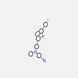 CC1(C)c2cc(-c3ccc(F)cc3)cc3ccc4cc(-c5ccc(N(c6ccccc6)c6ccc(C#N)cc6)cc5)cc1c4c23